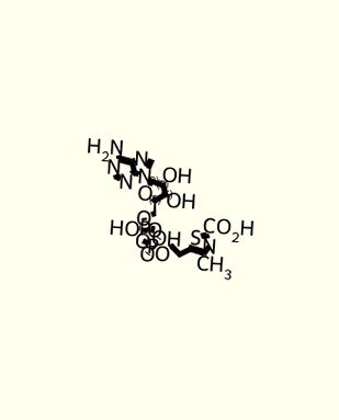 Cc1nc(C(=O)O)sc1CCOP(=O)(O)OP(=O)(O)OC[C@H]1O[C@@H](n2cnc3c(N)ncnc32)[C@H](O)[C@@H]1O